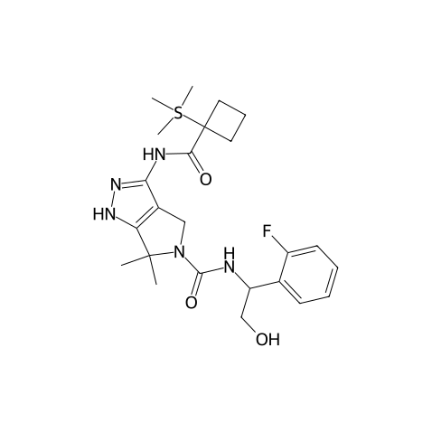 CC1(C)c2[nH]nc(NC(=O)C3(S(C)(C)C)CCC3)c2CN1C(=O)NC(CO)c1ccccc1F